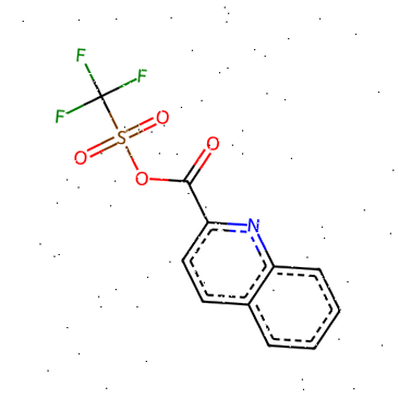 O=C(OS(=O)(=O)C(F)(F)F)c1ccc2ccccc2n1